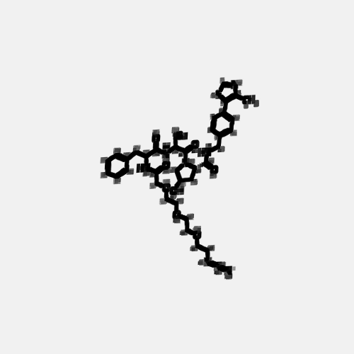 Cc1ncsc1-c1ccc(CNC(=O)[C@@H]2C[C@@H](O)CN2C(=O)C(NC(=O)C(Cc2ccccc2)NC(=O)COCCOCCOCCN=[N+]=[N-])C(C)(C)C)cc1